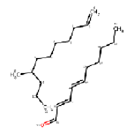 C=CCCCCCC(C)CCC.CCCCCC=CC=CC=O